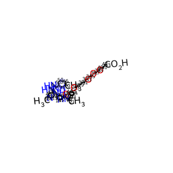 CC1\C=C/C(C(=N)NC(=N)C2(Nc3cccc(C(=O)N[C@H](C)c4ccc(OCCCCCCOCCOCCOCCCC(=O)O)cc4)c3)CCN(C)CC2)=C\C=C\C1